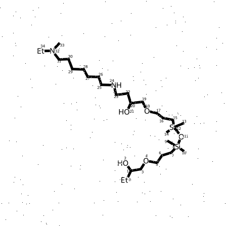 CCC(O)COCCC[Si](C)(C)O[Si](C)(C)CCCOCC(O)CCNCCCCCCCN(C)CC